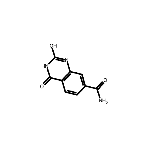 NC(=O)c1ccc2c(=O)[nH]c(O)nc2c1